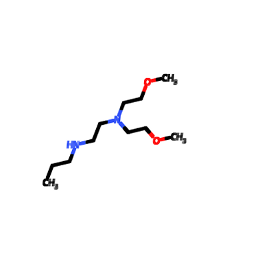 CCCNCCN(CCOC)CCOC